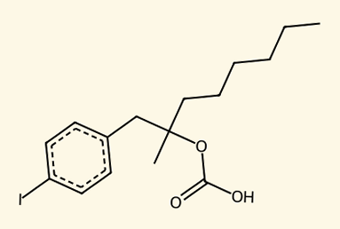 CCCCCCC(C)(Cc1ccc(I)cc1)OC(=O)O